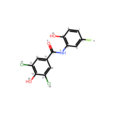 O=C(Nc1cc(F)ccc1O)c1cc(Cl)c(O)c(Cl)c1